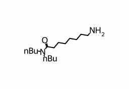 CCCCN(CCCC)C(=O)CCCCCCCN